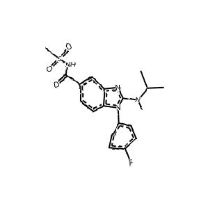 CC(C)N(C)c1nc2cc(C(=O)NS(C)(=O)=O)ccc2n1-c1ccc(F)cc1